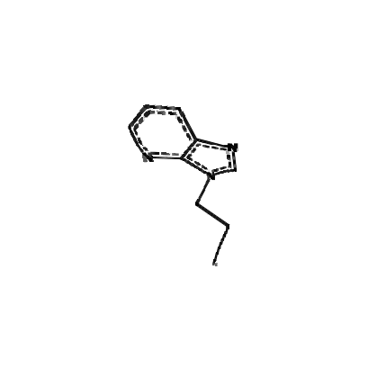 [CH2]CCn1cnc2cccnc21